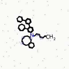 C=C/C=C\C=C/CN(/C1=C/C2=C(C=CCC2)C/C=C\C=C/C1)c1ccc(-c2cccc(C3=CCCC=C3)c2)c(C2=CC=CCCC2)c1